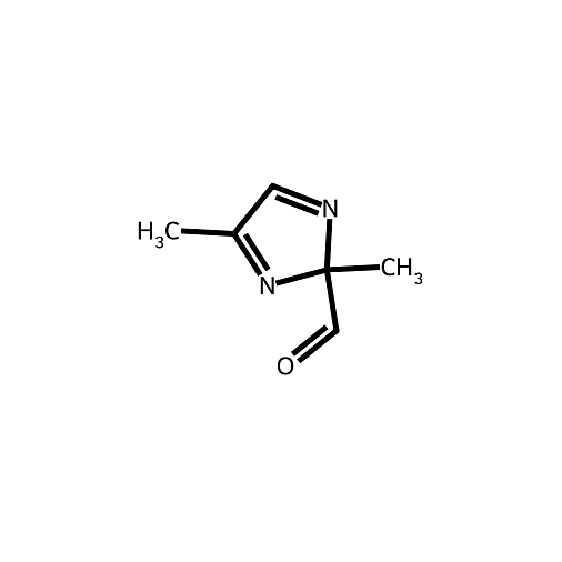 CC1=NC(C)(C=O)N=C1